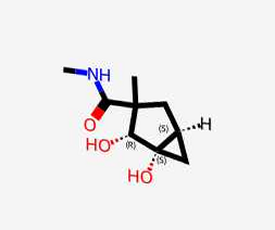 CNC(=O)C1(C)C[C@H]2C[C@@]2(O)[C@@H]1O